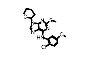 COc1ccc(Cl)c(Nc2nc(SC)nc3c2ncn3C2CCCCO2)c1